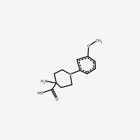 COc1cccc(N2CCC(N)(C(=O)O)CC2)c1